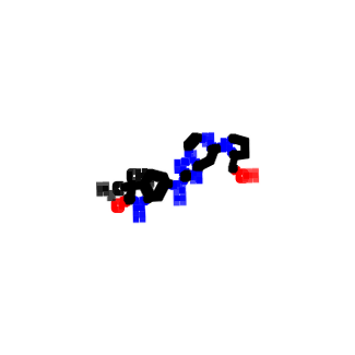 CC1(C)C(=O)Nc2cc(Nc3nc4n(n3)C=CN=C(N3CCC[C@H]3CO)C4)ccc21